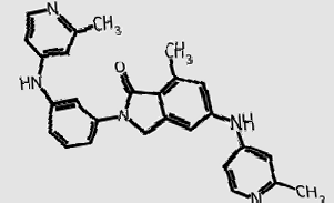 Cc1cc(Nc2cccc(N3Cc4cc(Nc5ccnc(C)c5)cc(C)c4C3=O)c2)ccn1